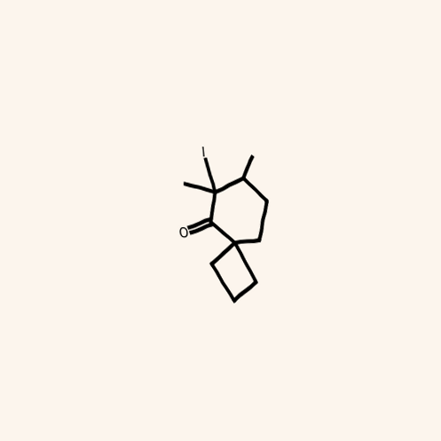 CC1CCC2(CCC2)C(=O)C1(C)I